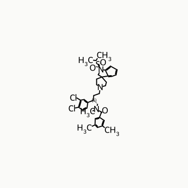 Cc1cc(C)cc(C(=O)N(C)C[C@@H](CCN2CCC3(CC2)CN(S(=O)(=O)C(C)C)c2ccccc23)c2ccc(Cl)c(Cl)c2)c1